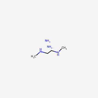 CNCCNC.N.N